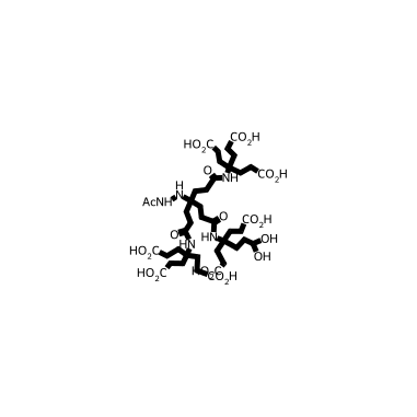 CC(=O)NNC(CCC(=O)NC(CCC(=O)O)(CCC(=O)O)CCC(=O)O)(CCC(=O)NC(CCC(=O)O)(CCC(=O)O)CCC(=O)O)CCC(=O)NC(CCC(=O)O)(CCC(=O)O)CCC(O)O